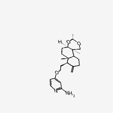 C=C1CCC2[C@]3(C)CO[C@@H](C)O[C@@H]3CC[C@@]2(C)[C@@H]1CCOc1ccnc(N)c1